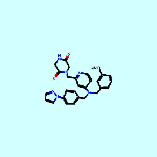 COc1cccc(CN(Cc2ccc(-n3cccn3)cc2)c2ccnc(CN3CC(=O)NCC3=O)c2)c1